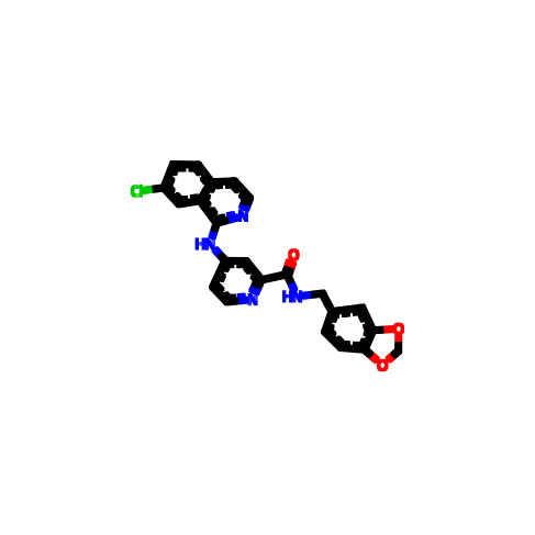 O=C(NCc1ccc2c(c1)OCO2)c1cc(Nc2nccc3ccc(Cl)cc23)ccn1